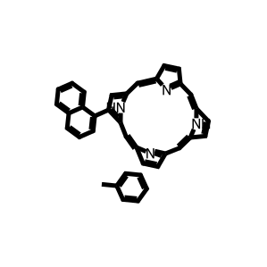 C1=Cc2cc3cc(-c4cccc5ccccc45)c(cc4nc(cc5ccc(cc1n2)[nH]5)C=C4)[nH]3.Cc1ccccc1